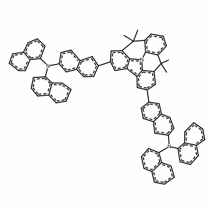 CC1(C)c2cccc3c2-n2c4c1cc(-c1ccc5cc(N(c6cccc7ccccc67)c6cccc7ccccc67)ccc5c1)cc4c1cc(-c4ccc5cc(N(c6cccc7ccccc67)c6cccc7ccccc67)ccc5c4)cc(c12)C3(C)C